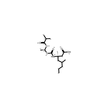 CCCC(C)C[C@](C)(CC(=O)O)NC(=O)O[C@@H](C)OC(=O)C(C)C